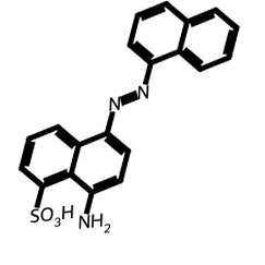 Nc1ccc(N=Nc2cccc3ccccc23)c2cccc(S(=O)(=O)O)c12